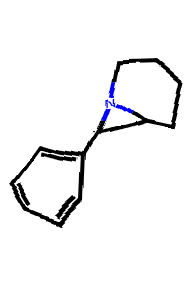 c1ccc([C]2C3CCCCN23)cc1